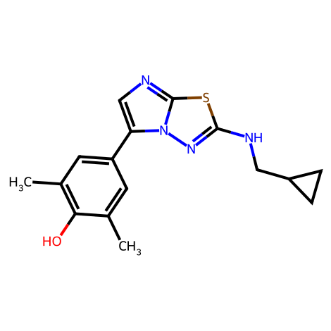 Cc1cc(-c2cnc3sc(NCC4CC4)nn23)cc(C)c1O